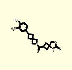 Cc1ccc(C2CC3(C2)CN(C(=O)C2CC4(COC(=O)N4)C2)C3)cc1C